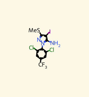 CSc1nn(-c2c(Cl)cc(C(F)(F)F)cc2Cl)c(N)c1I